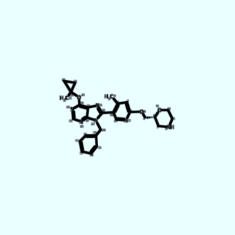 Cc1cc(OC[C@H]2CNCCO2)ncc1-c1nc2c(OC3(C)CC3)ncnc2n1Cc1ccccc1